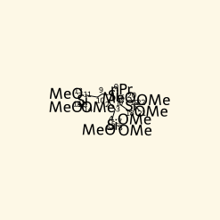 CCC[Si](CCC[Si](OC)(OC)OC)(CCC[Si](OC)(OC)OC)CCC[Si](OC)(OC)OC